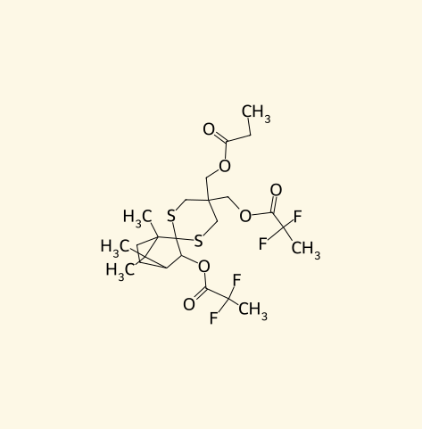 CCC(=O)OCC1(COC(=O)C(C)(F)F)CSC2(SC1)C(OC(=O)C(C)(F)F)C1CCC2(C)C1(C)C